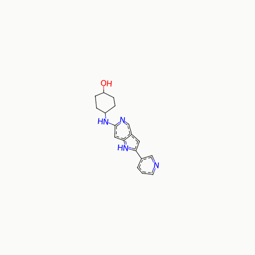 OC1CCC(Nc2cc3[nH]c(-c4cccnc4)cc3cn2)CC1